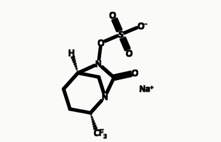 O=C1N2C[C@@H](CC[C@H]2C(F)(F)F)N1OS(=O)(=O)[O-].[Na+]